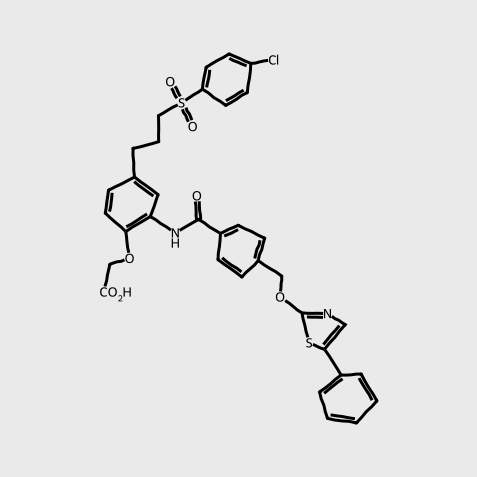 O=C(O)COc1ccc(CCCS(=O)(=O)c2ccc(Cl)cc2)cc1NC(=O)c1ccc(COc2ncc(-c3ccccc3)s2)cc1